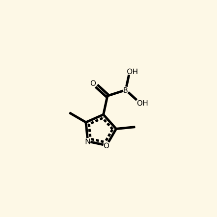 Cc1noc(C)c1C(=O)B(O)O